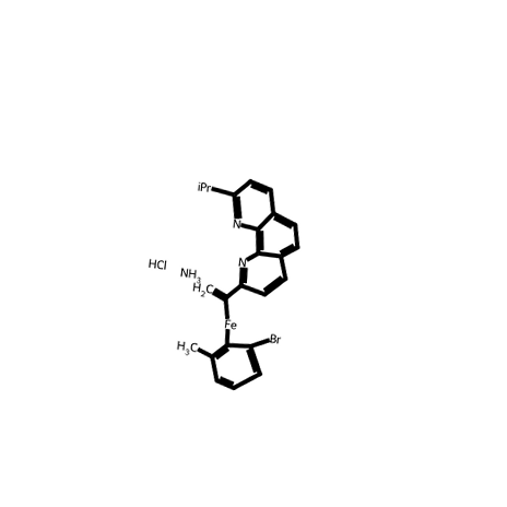 C=[C]([Fe][c]1c(C)cccc1Br)c1ccc2ccc3ccc(C(C)C)nc3c2n1.Cl.N